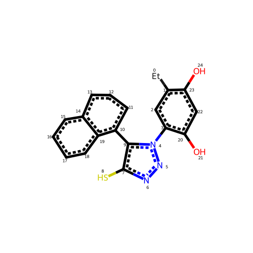 CCc1cc(-n2nnc(S)c2-c2cccc3ccccc23)c(O)cc1O